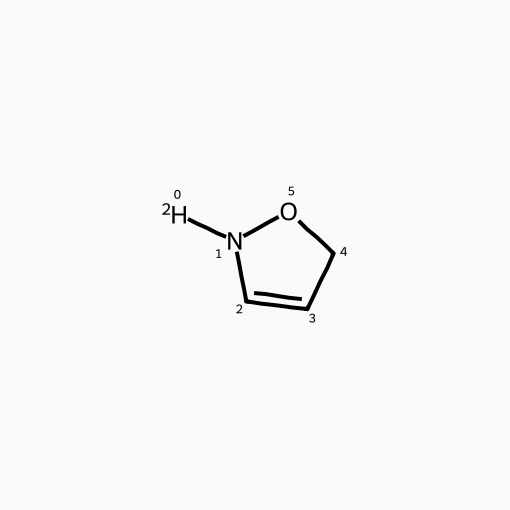 [2H]N1C=CCO1